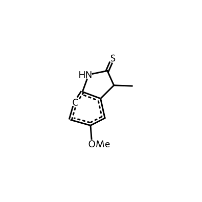 COc1ccc2c(c1)C(C)C(=S)N2